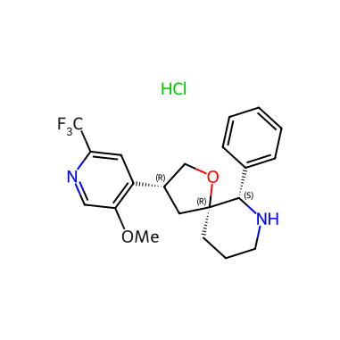 COc1cnc(C(F)(F)F)cc1[C@@H]1CO[C@]2(CCCN[C@H]2c2ccccc2)C1.Cl